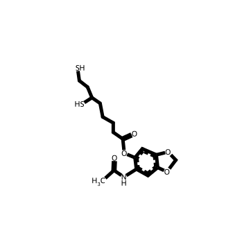 CC(=O)Nc1cc2c(cc1OC(=O)CCCCC(S)CCS)OCO2